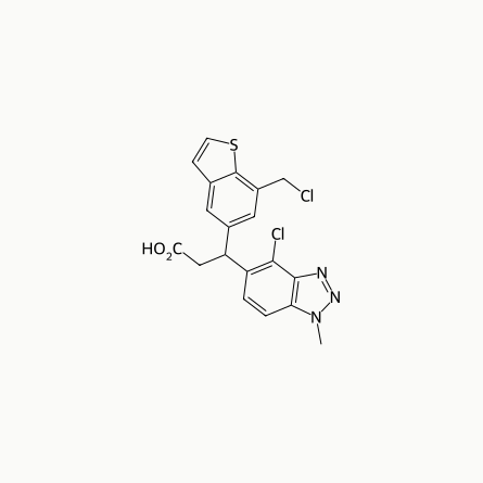 Cn1nnc2c(Cl)c(C(CC(=O)O)c3cc(CCl)c4sccc4c3)ccc21